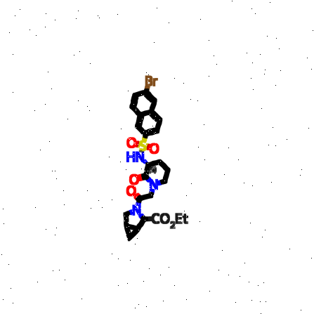 CCOC(=O)C1C2CC2CN1C(=O)CN1CCC[C@H](NS(=O)(=O)c2ccc3cc(Br)ccc3c2)C1=O